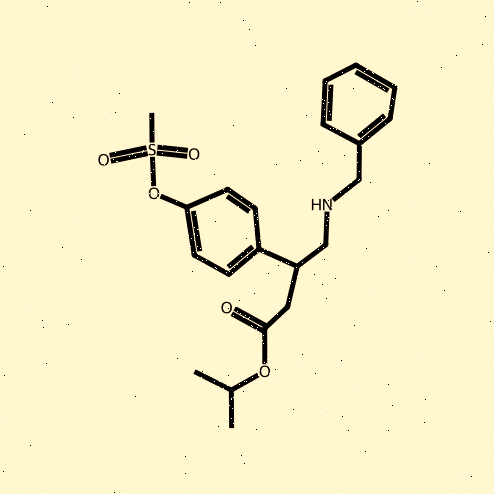 CC(C)OC(=O)CC(CNCc1ccccc1)c1ccc(OS(C)(=O)=O)cc1